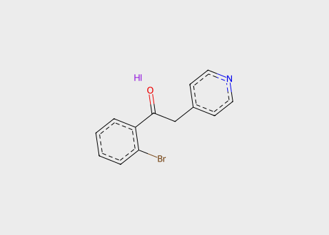 I.O=C(Cc1ccncc1)c1ccccc1Br